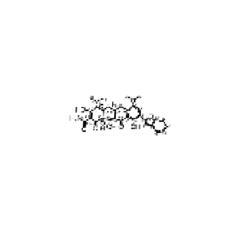 CN(C)c1cc(-c2cc3ccccc3o2)c(O)c2c1C[C@H]1C[C@H]3[C@@H](N(C)C)C(O)=C(C(N)=O)C(=O)[C@]3(O)C(O)=C1C2=O